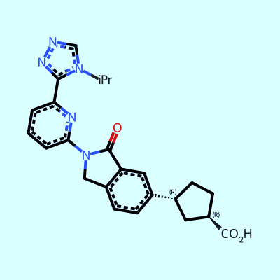 CC(C)n1cnnc1-c1cccc(N2Cc3ccc([C@@H]4CC[C@@H](C(=O)O)C4)cc3C2=O)n1